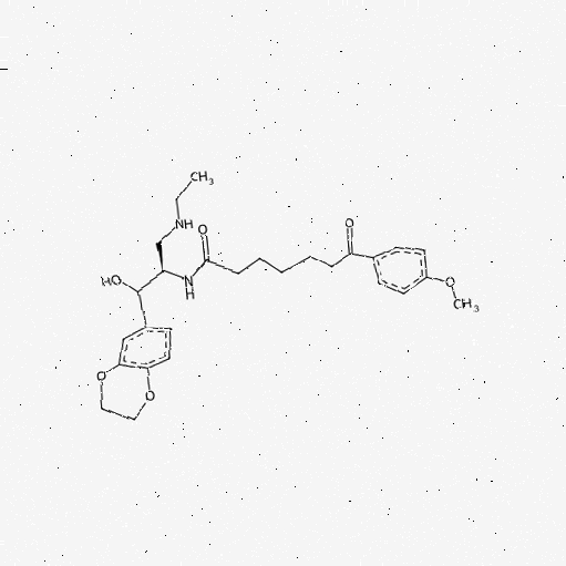 CCNC[C@@H](NC(=O)CCCCCC(=O)c1ccc(OC)cc1)C(O)c1ccc2c(c1)OCCO2